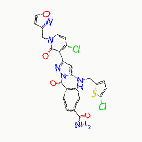 NC(=O)c1ccc(C(=O)n2nc(-c3c(Cl)ccn(Cc4ccon4)c3=O)cc2NCc2ccc(Cl)s2)cc1